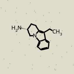 CCc1c2n(c3ccccc13)C[C@H](N)CC2